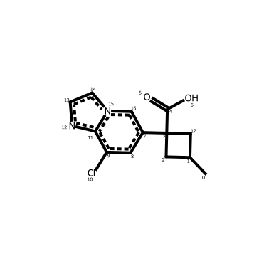 CC1CC(C(=O)O)(c2cc(Cl)c3nccn3c2)C1